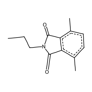 CCCN1C(=O)c2c(C)ccc(C)c2C1=O